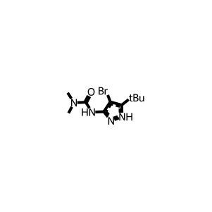 CN(C)C(=O)Nc1n[nH]c(C(C)(C)C)c1Br